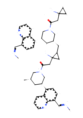 C/N=C\c1ccc([C@H]2C[C@H](CC3CC3(N)CC(=O)N3C[C@H](C)C[C@H](c4ccc(/C=N/C)c5ncccc45)C3)CN(C(=O)CC3(N)CC3)C2)c2cccnc12